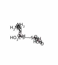 C[C@@H]1C[C@H]2C3CCC4=CC(=O)C=C[C@]4(C)[C@@]3(F)[C@@H](O)C[C@@]23O[C@]13C(=O)NCCSCCCCCCCCSCC[C@H](NC(=O)c1ccc(N(C)Cc2cnc3nc(N)nc(N)c3n2)cc1)C(=O)O